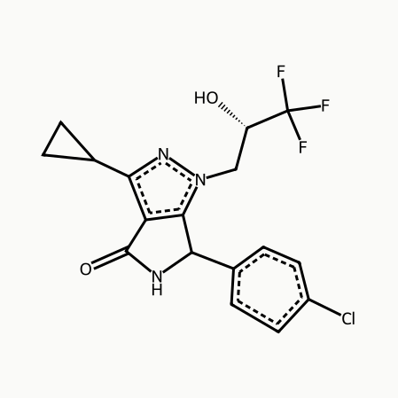 O=C1NC(c2ccc(Cl)cc2)c2c1c(C1CC1)nn2C[C@H](O)C(F)(F)F